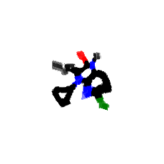 CCN1C(=O)C(C)N(C2CCCC2)c2nc(Br)ccc21